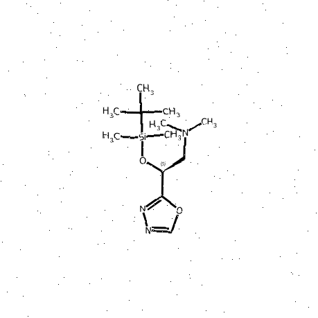 CN(C)C[C@H](O[Si](C)(C)C(C)(C)C)c1nnco1